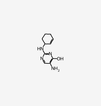 Nc1cnc(NC2C=CCCC2)nc1O